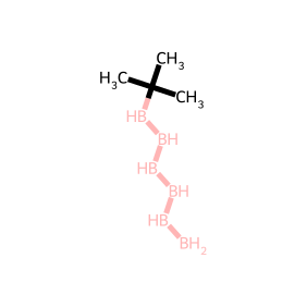 BBBBBBC(C)(C)C